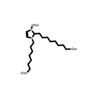 CCCCCCCCCCCCCCCCCCC1N(CCCCCCCCC)C=CN1CCCCCCCCCCCCCCCCC